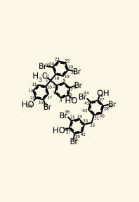 CC(c1ccc(O)c(Br)c1)(c1ccc(O)c(Br)c1)c1cc(Br)ccc1Br.Oc1c(Br)cc(Cc2cc(Br)c(O)c(Br)c2)cc1Br